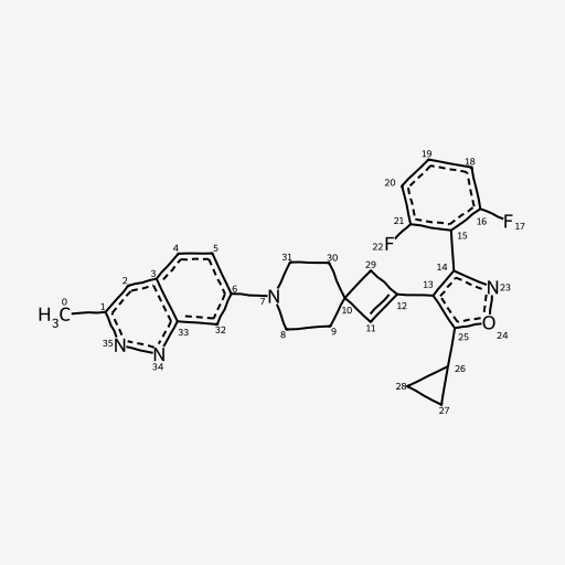 Cc1cc2ccc(N3CCC4(C=C(c5c(-c6c(F)cccc6F)noc5C5CC5)C4)CC3)cc2nn1